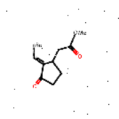 CCCCC=C1C(=O)CCC1CC(=O)OC